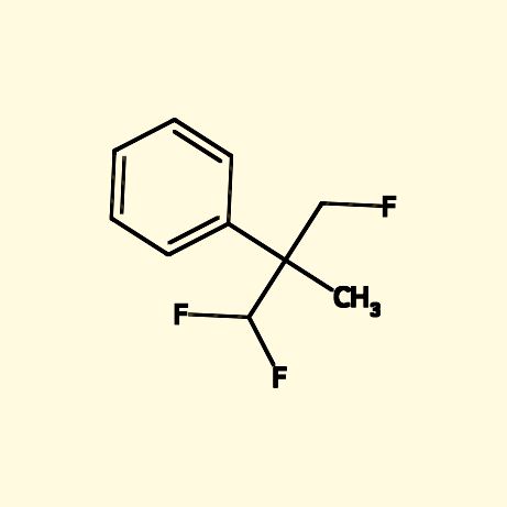 CC(CF)(c1ccccc1)C(F)F